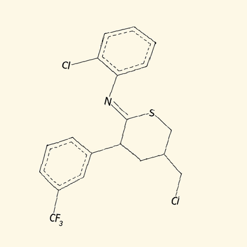 FC(F)(F)c1cccc(C2CC(CCl)CSC2=Nc2ccccc2Cl)c1